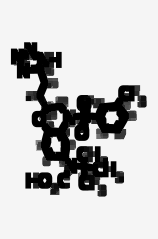 CC(C)(N(C(=O)O)c1ccc2c(c1)N(S(=O)(=O)c1cccc(C(F)(F)F)c1)C[C@H](CCc1nnn[nH]1)O2)C(F)(F)F